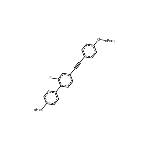 CCCCCCc1ccc(-c2ccc(C#Cc3ccc(OCCCCC)cc3)cc2F)cc1